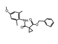 COc1cc(C)c(NC(=O)C2(C(=O)OCc3ccccc3)CC2)c(C)c1